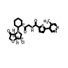 Cc1cnncc1-c1ccc(C(=O)NCC(=O)[C@H]2CCCCC2N2C[C@H](Cl)[C@H]3OCC(=O)[C@H]32)s1